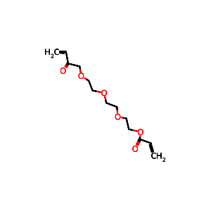 C=CC(=O)COCCOCCOCCOC(=O)C=C